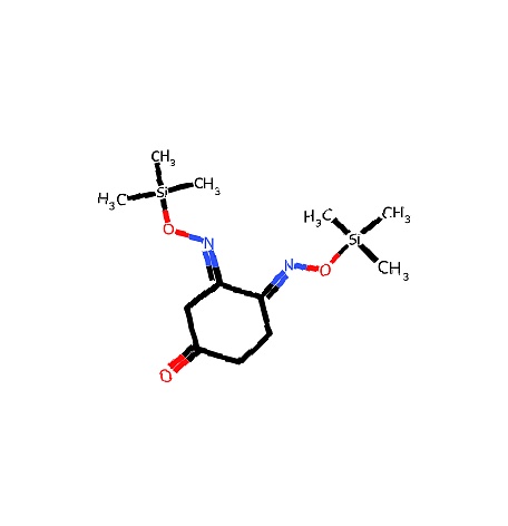 C[Si](C)(C)ON=C1CCC(=O)CC1=NO[Si](C)(C)C